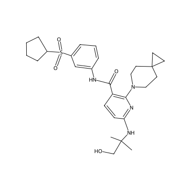 CC(C)(CO)Nc1ccc(C(=O)Nc2cccc(S(=O)(=O)C3CCCC3)c2)c(N2CCC3(CC2)CC3)n1